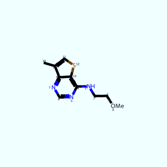 COCCNc1ncnc2c(C)csc12